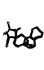 CN1C(=O)NC(=O)C12CCC1C3Cc4ccccc4C1(CCN3)C2